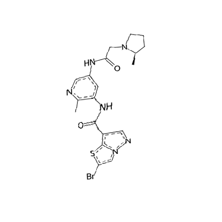 Cc1ncc(NC(=O)CN2CCC[C@H]2C)cc1NC(=O)c1cnn2cc(Br)sc12